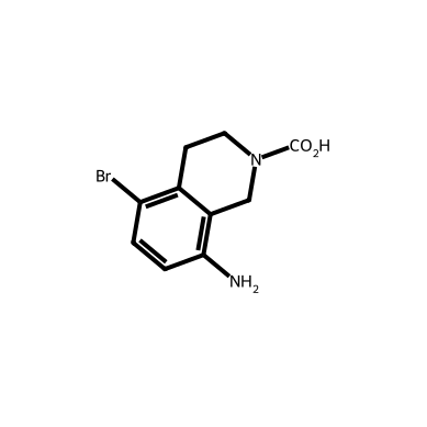 Nc1ccc(Br)c2c1CN(C(=O)O)CC2